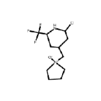 [O-][N+]1(CC2CC(Cl)NC(C(F)(F)F)C2)CCCC1